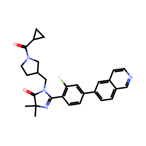 CC1(C)N=C(c2ccc(-c3ccc4cnccc4c3)cc2F)N(CC2CCN(C(=O)C3CC3)C2)C1=O